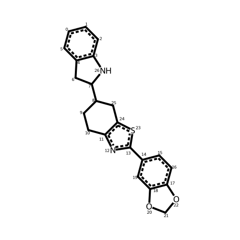 c1ccc2c(c1)CC(C1CCc3nc(-c4ccc5c(c4)OCO5)sc3C1)N2